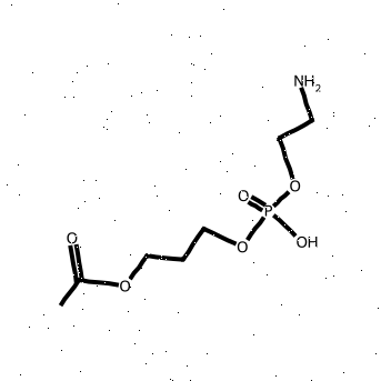 CC(=O)OCCCOP(=O)(O)OCCN